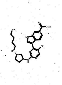 COC(=O)c1ccc2c(-c3nc(N[C@H]4CC[C@H](NCCCCN)C4)ncc3C(F)(F)F)c[nH]c2c1